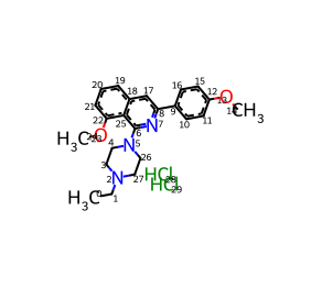 CCN1CCN(c2nc(-c3ccc(OC)cc3)cc3cccc(OC)c23)CC1.Cl.Cl